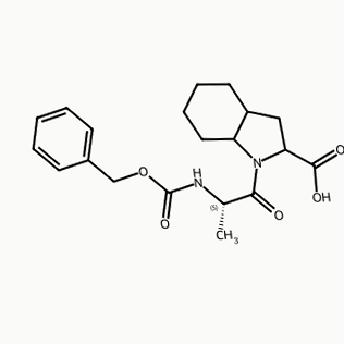 C[C@H](NC(=O)OCc1ccccc1)C(=O)N1C(C(=O)O)CC2CCCCC21